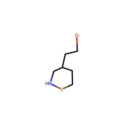 [O]CCC1CCSNC1